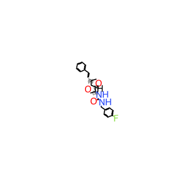 O=C(NCc1ccc(F)cc1)N[C@H]1COC2[C@H](C=Cc3ccccc3)CO[C@@H]21